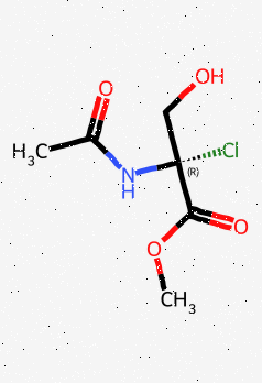 COC(=O)[C@](Cl)(CO)NC(C)=O